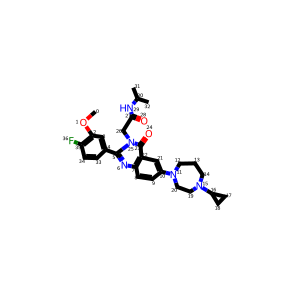 COc1cc(-c2nc3ccc(N4CCCN(C5CC5)CC4)cc3c(=O)n2CC(=O)NC(C)C)ccc1F